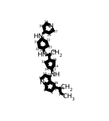 C=C(CC)c1ccc2nccc(Nc3ccc(C(=C)Nc4ccc(Nc5ccncc5)cc4)cc3)c2c1